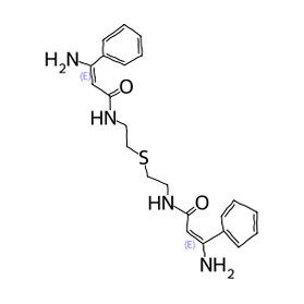 N/C(=C/C(=O)NCCSCCNC(=O)/C=C(/N)c1ccccc1)c1ccccc1